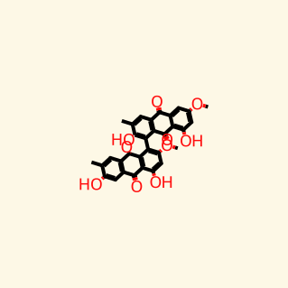 COc1cc(O)c2c(c1)C(=O)c1cc(C)c(O)c(-c3c(OC)cc(O)c4c3C(=O)c3cc(C)c(O)cc3C4=O)c1C2=O